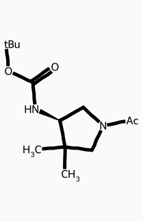 CC(=O)N1C[C@H](NC(=O)OC(C)(C)C)C(C)(C)C1